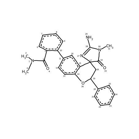 CN(C)C(=O)c1ccccc1-c1ccc2c(c1)C1(CC(c3ccccc3)O2)N=C(N)N(C)C1=O